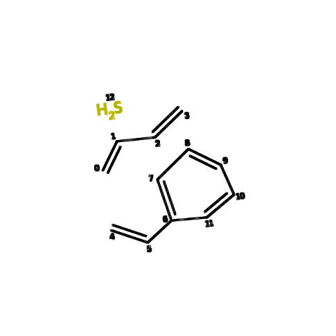 C=CC=C.C=Cc1ccccc1.S